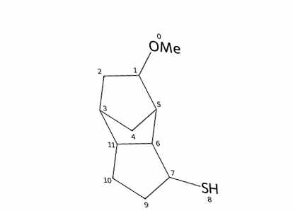 COC1CC2CC1C1C(S)CCC21